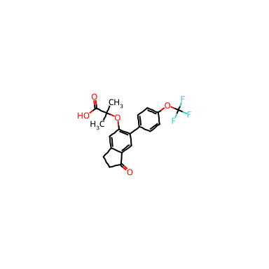 CC(C)(Oc1cc2c(cc1-c1ccc(OC(F)(F)F)cc1)C(=O)CC2)C(=O)O